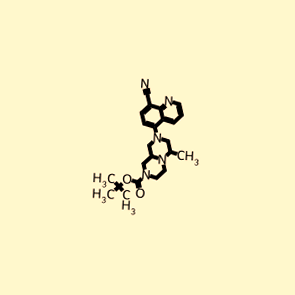 CC1CN(c2ccc(C#N)c3ncccc23)CC2CN(C(=O)OC(C)(C)C)CCN12